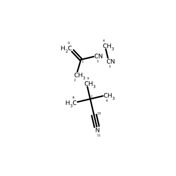 C=C(C)C#N.CC#N.CC(C)(C)C#N